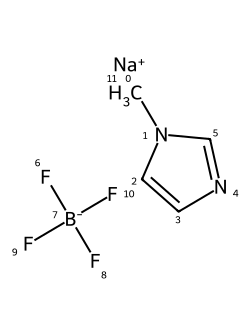 Cn1ccnc1.F[B-](F)(F)F.[Na+]